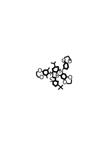 Cc1cc2c(c(C)c1N1c3cc(C(C)C)cc4c3B(c3cc5c(cc3N4c3ccc4c(c3)OCCCO4)OCCCO5)c3c1sc1ccc(C(C)(C)C)cc31)OCCCO2